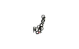 CC(=O)N1CCN(c2ccc(S(=O)(=O)N(Cc3ccccc3C(F)(F)F)CC(C)(C)C)cc2)CC1